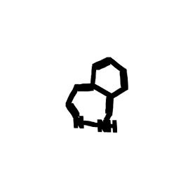 C1=NNC=c2ccccc2=C1